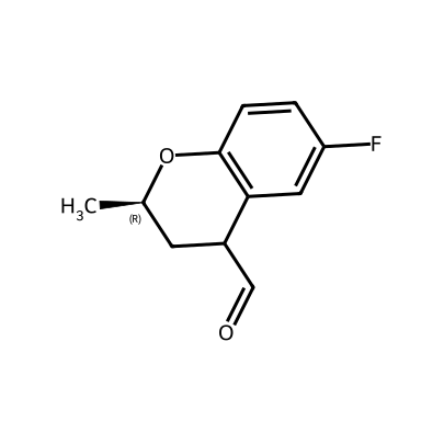 C[C@@H]1CC(C=O)c2cc(F)ccc2O1